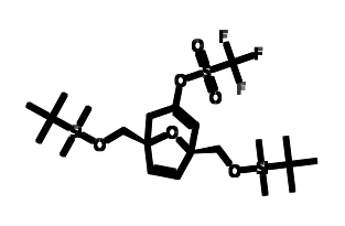 CC(C)(C)[Si](C)(C)OC[C@]12C=C[C@](CO[Si](C)(C)C(C)(C)C)(CC(OS(=O)(=O)C(F)(F)F)=C1)O2